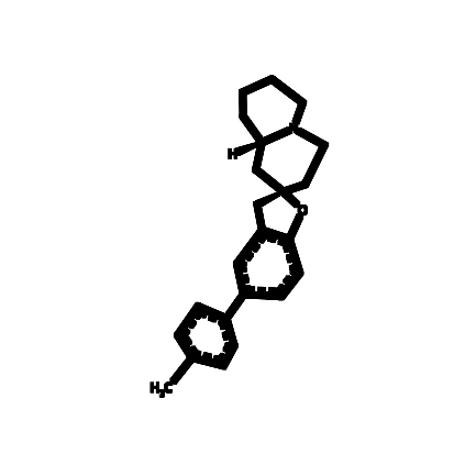 Cc1ccc(-c2ccc3c(c2)C[C@@]2(CCN4CCCC[C@H]4C2)O3)cc1